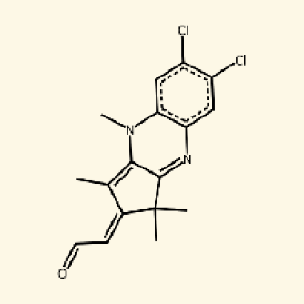 CC1=C2C(=Nc3cc(Cl)c(Cl)cc3N2C)C(C)(C)C1=CC=O